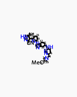 COC1CN(Cc2ccc(Nc3ccc4c(c3)ncn4-c3ccc(C(C)=O)c(-c4c(C#N)n[nH]c4C)n3)nn2)C1